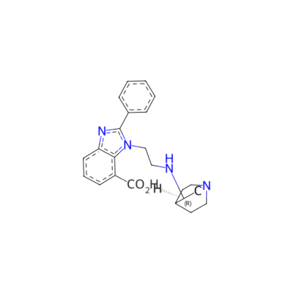 O=C(O)c1cccc2nc(-c3ccccc3)n(CCN[C@H]3CN4CCC3CC4)c12